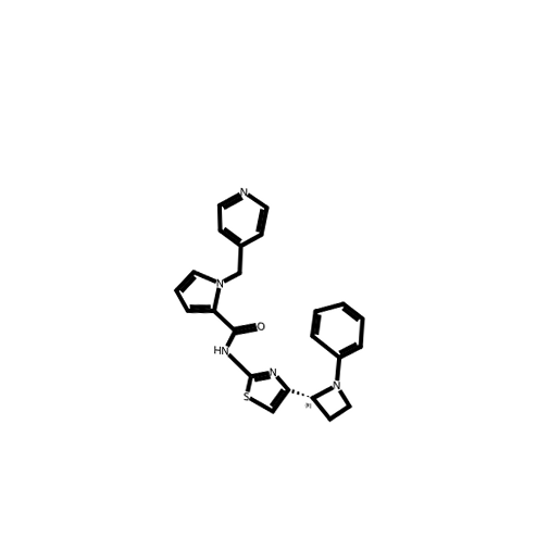 O=C(Nc1nc([C@H]2CCN2c2ccccc2)cs1)c1cccn1Cc1ccncc1